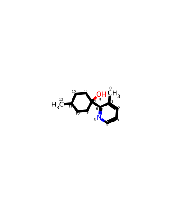 Cc1cccnc1C1(O)CCC(C)CC1